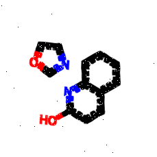 Oc1ccc2ccccc2n1.c1cocn1